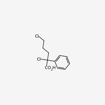 O=C(O)C(Cl)(CCCCl)c1ccccc1